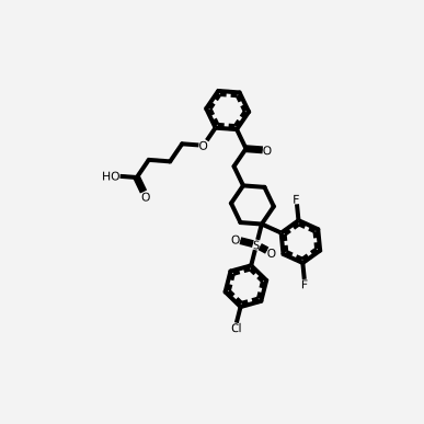 O=C(O)CCCOc1ccccc1C(=O)CC1CCC(c2cc(F)ccc2F)(S(=O)(=O)c2ccc(Cl)cc2)CC1